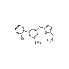 CCc1ccccc1-c1cc(SC)cc(Sc2ccc(CN)s2)c1